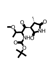 COC(C)C(NC(=O)OC(C)(C)C)C(=O)[C@@H]1C(=O)NC(=O)[C@H]1C